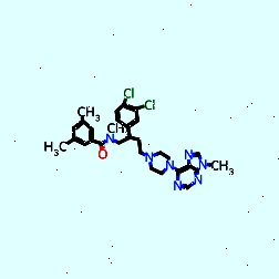 Cc1cc(C)cc(C(=O)N(C)CC(CCN2CCN(c3ncnc4c3ncn4C)CC2)c2ccc(Cl)c(Cl)c2)c1